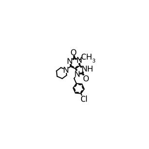 Cn1c(=O)nc(N2CCCCC2)c2c1[nH]c(=O)n2Cc1ccc(Cl)cc1